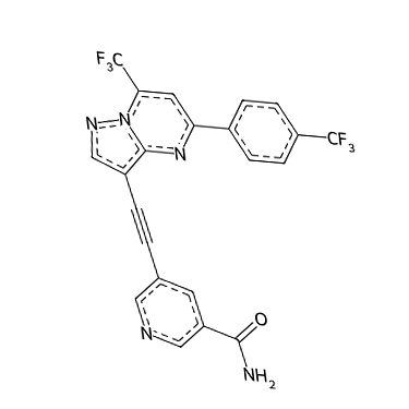 NC(=O)c1cncc(C#Cc2cnn3c(C(F)(F)F)cc(-c4ccc(C(F)(F)F)cc4)nc23)c1